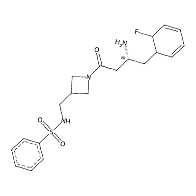 N[C@@H](CC(=O)N1CC(CNS(=O)(=O)c2ccccc2)C1)CC1C=CC=CC1F